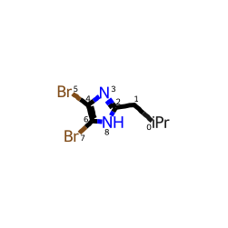 CC(C)Cc1nc(Br)c(Br)[nH]1